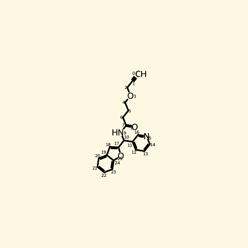 C#CCOCCCC(=O)NC(c1cccnc1)c1cc2ccccc2o1